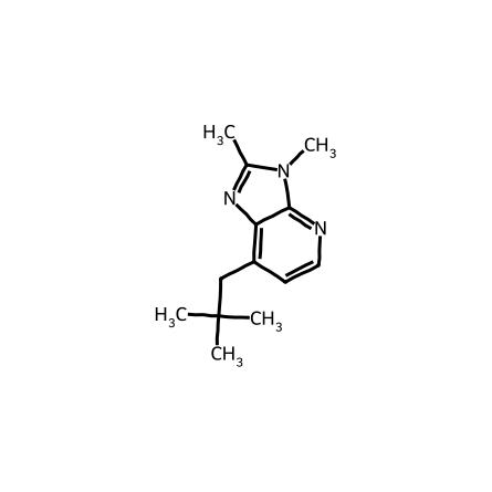 Cc1nc2c(CC(C)(C)C)ccnc2n1C